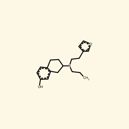 CCCN(CCc1ccoc1)C1CCc2ccc(O)cc2C1